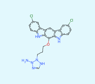 NN1N=CNN1CCCOc1c2[nH]c3ccc(Cl)cc3c2cc2c1[nH]c1ccc(Cl)cc12